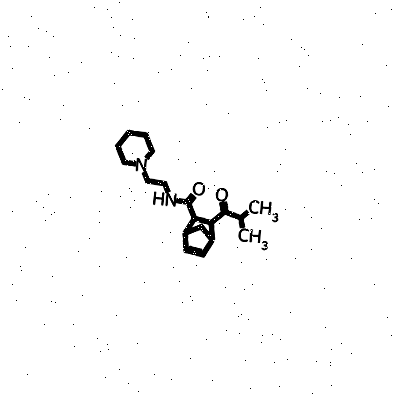 CC(C)C(=O)C1C2C=CC(C2)C1C(=O)NCCN1CCCCC1